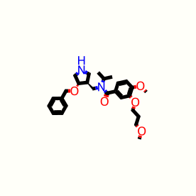 COCCCOc1cc(C(=O)N(C[C@@H]2CNC[C@@H]2OCc2ccccc2)C(C)C)ccc1OC